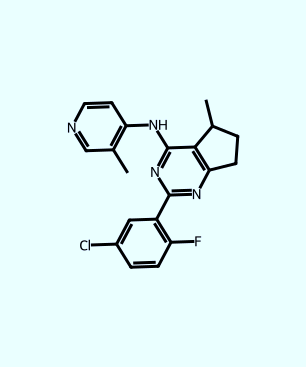 Cc1cnccc1Nc1nc(-c2cc(Cl)ccc2F)nc2c1C(C)CC2